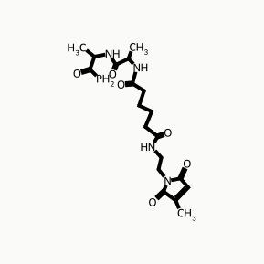 CC1=CC(=O)N(CCNC(=O)CCCCC(=O)NC(C)C(=O)NC(C)C(=O)P)C1=O